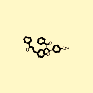 O=C(C=Cc1ccc2c(c1)[C@H](C(=O)c1ccccc1)[C@@H](c1ccc(O)cc1)O2)c1ccccc1